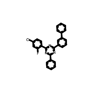 Fc1cc(Cl)ccc1-c1nc(-c2ccccc2)nc(-c2cccc(-c3ccccc3)c2)n1